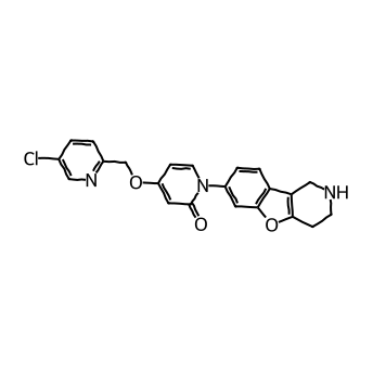 O=c1cc(OCc2ccc(Cl)cn2)ccn1-c1ccc2c3c(oc2c1)CCNC3